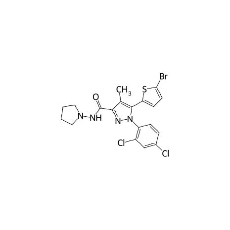 Cc1c(C(=O)NN2CCCC2)nn(-c2ccc(Cl)cc2Cl)c1-c1ccc(Br)s1